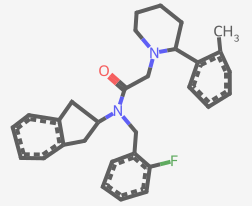 Cc1ccccc1C1CCCCN1CC(=O)N(Cc1ccccc1F)C1Cc2ccccc2C1